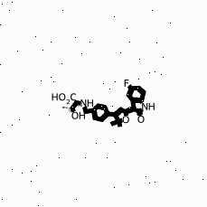 C[C@@H](O)[C@H](NCc1ccc(C2=CC(=C3C(=O)Nc4ccc(F)cc43)OC2(C)C)cc1)C(=O)O